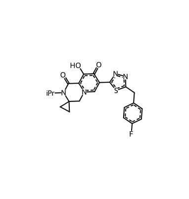 CC(C)N1C(=O)c2c(O)c(=O)c(-c3nnc(Cc4ccc(F)cc4)s3)cn2CC12CC2